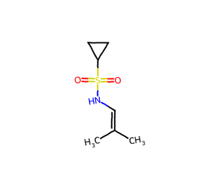 CC(C)=CNS(=O)(=O)C1CC1